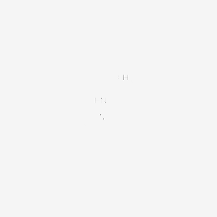 CCNn1[c]ccc1